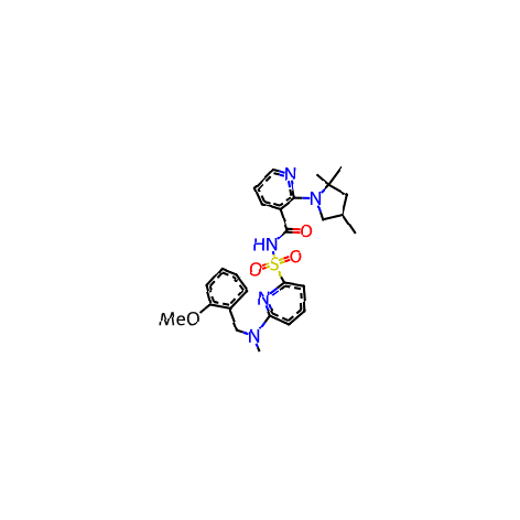 COc1ccccc1CN(C)c1cccc(S(=O)(=O)NC(=O)c2cccnc2N2CC(C)CC2(C)C)n1